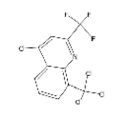 FC(F)(F)c1cc(Cl)c2cccc(C(Cl)(Cl)Cl)c2n1